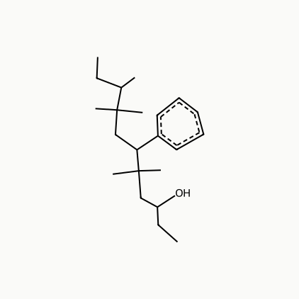 CCC(O)CC(C)(C)C(CC(C)(C)C(C)CC)c1ccccc1